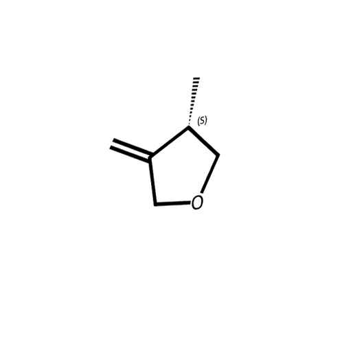 C=C1COC[C@H]1C